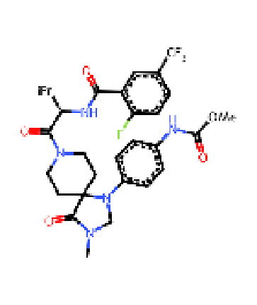 COC(=O)Nc1ccc(N2CN(C)C(=O)C23CCN(C(=O)[C@H](NC(=O)c2cc(C(F)(F)F)ccc2F)C(C)C)CC3)cc1